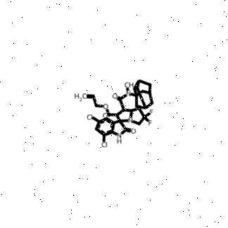 C=CCOC(=O)C1C(C(=O)N(C)C23CC4CC(CC(C4)C2)C3)C2CC(F)(F)CN2C12C(=O)Nc1c(Cl)cc(Cl)cc12